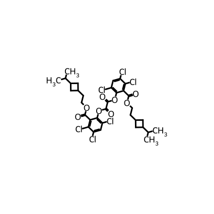 CC(C)C1CC(CCOC(=O)c2c(Cl)c(Cl)cc(Cl)c2OC(=O)C(=O)Oc2c(Cl)cc(Cl)c(Cl)c2C(=O)OCCC2CC(C(C)C)C2)C1